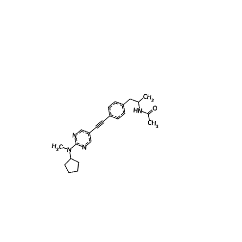 CC(=O)NC(C)Cc1ccc(C#Cc2cnc(N(C)C3CCCC3)nc2)cc1